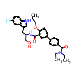 CCCOc1ccc(-c2ccc(C(=O)N(CC)CC)cc2)cc1C(=O)NC(CO)Cc1c[nH]c2ccc(F)cc12